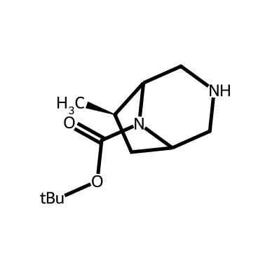 C[C@@H]1CC2CNCC1N2C(=O)OC(C)(C)C